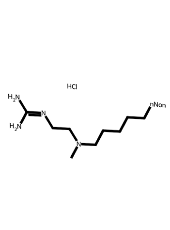 CCCCCCCCCCCCCCN(C)CCN=C(N)N.Cl